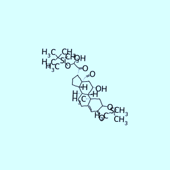 CC(C)(C)[Si](C)(C)OC(O)C(=O)[C@H]1CC[C@H]2[C@@H]3CCC4=CC(=O)C(O[Si](C)(C)C)C[C@]4(C)[C@H]3[C@@H](O)C[C@]12C=O